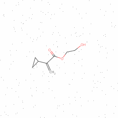 C=C(C(=O)OCCO)C1CC1